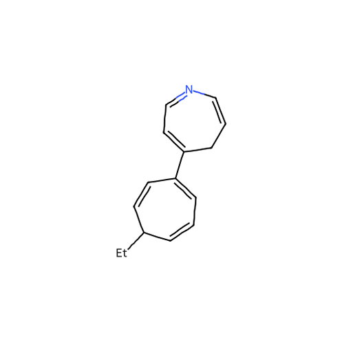 CCC1C=CC=C(C2=CC=NC=CC2)C=C1